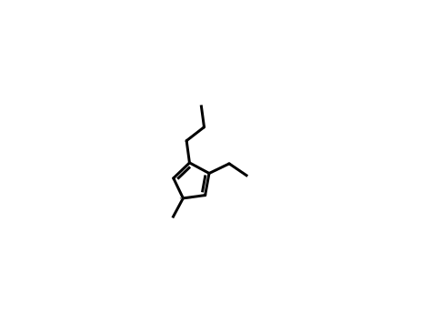 CCCC1=C[C](C)C=C1CC